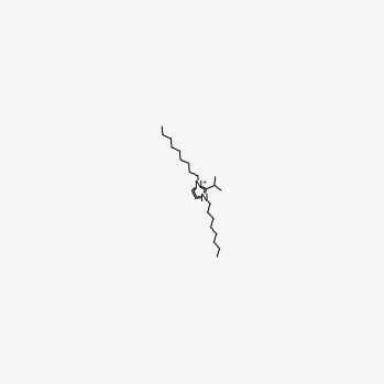 CCCCCCCCC[n+]1ccn(CCCCCCCC)c1C(C)C